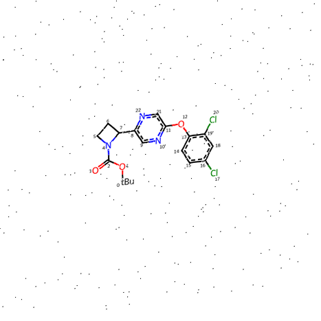 CC(C)(C)OC(=O)N1CCC1c1cnc(Oc2ccc(Cl)cc2Cl)cn1